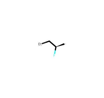 [CH2][C@@H](F)CCC